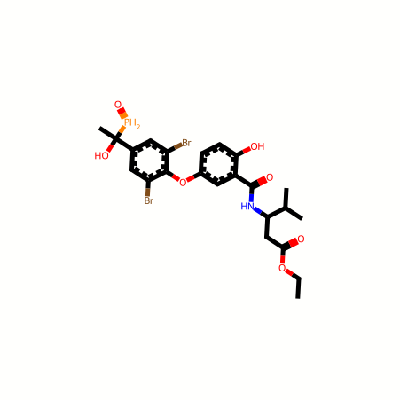 CCOC(=O)CC(NC(=O)c1cc(Oc2c(Br)cc(C(C)(O)[PH2]=O)cc2Br)ccc1O)C(C)C